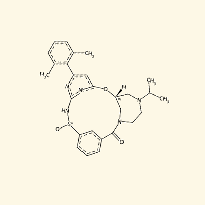 Cc1cccc(C)c1-c1cc2nc(n1)N[S+]([O-])c1cccc(c1)C(=O)N1CCN(C(C)C)C[C@H](C1)O2